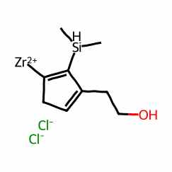 C[SiH](C)C1=[C]([Zr+2])CC=C1CCO.[Cl-].[Cl-]